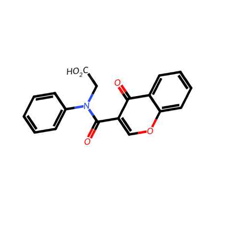 O=C(O)CN(C(=O)c1coc2ccccc2c1=O)c1ccccc1